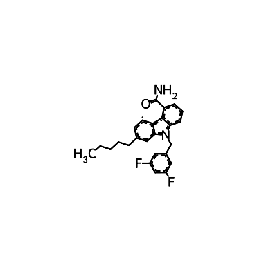 CCCCCc1c[c]c2c3c(C(N)=O)cccc3n(Cc3cc(F)cc(F)c3)c2c1